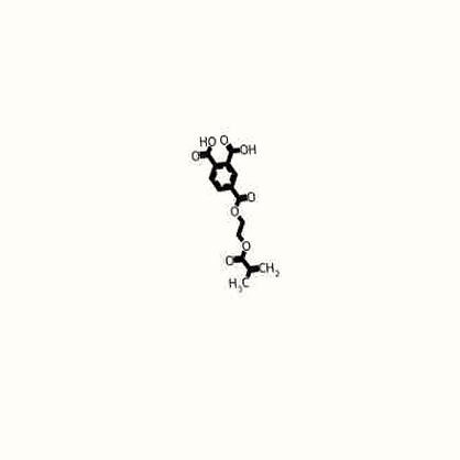 C=C(C)C(=O)OCCOC(=O)c1ccc(C(=O)O)c(C(=O)O)c1